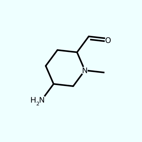 CN1CC(N)CCC1C=O